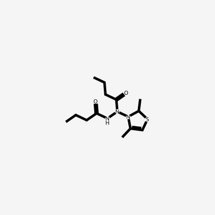 CCCC(=O)NN(C(=O)CCC)N1C(C)=CSC1C